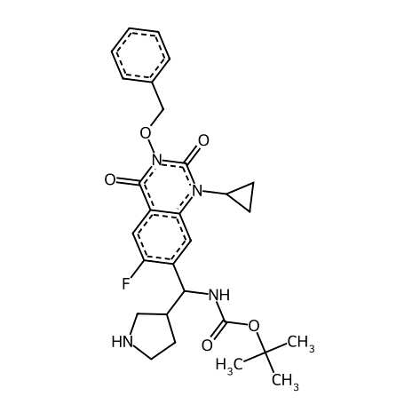 CC(C)(C)OC(=O)NC(c1cc2c(cc1F)c(=O)n(OCc1ccccc1)c(=O)n2C1CC1)C1CCNC1